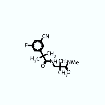 CNC(=O)C(C)(C)CNC(=O)C(C)(C)c1cc(F)cc(C#N)c1